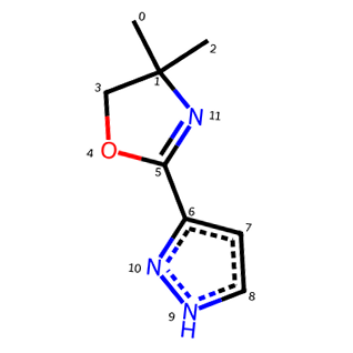 CC1(C)COC(c2cc[nH]n2)=N1